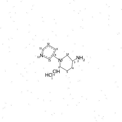 Cl.Cl.NC1CCCN(c2cccnc2)C1